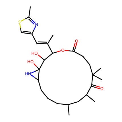 CC(=Cc1csc(C)n1)C1OC(=O)CCC(C)(C)C(=O)C(C)CC(C)CCCC2NC2(O)C1O